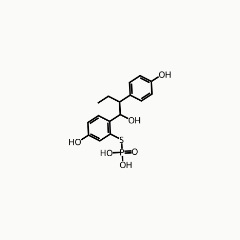 CCC(c1ccc(O)cc1)C(O)c1ccc(O)cc1SP(=O)(O)O